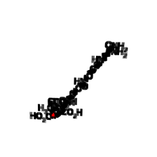 CC1(N(CC=O)CC(=O)O)CN(CC(=O)O)CCN(C(CCC(=O)NCCOCCOCC(=O)NCCOCCOCOCNCCCCC(N)C(N)=O)C(=O)O)C1